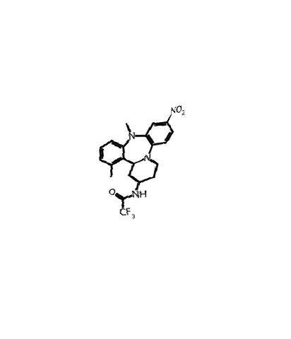 Cc1cccc2c1C1CC(NC(=O)C(F)(F)F)CCN1c1ccc([N+](=O)[O-])cc1N2C